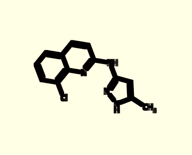 Cc1cc(Nc2ccc3cccc(Cl)c3n2)n[nH]1